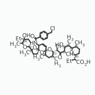 CCC(C(=O)[C@@H](C)[C@@H](O)[C@H](C)[C@@H]1O[C@@H](C(CC)C(=O)O)CC[C@@H]1C)[C@H]1O[C@]2(C=CC(NC(=O)c3ccc(CCl)cc3)[C@]3(CC[C@@](C)([C@H]4CC[C@](O)(CC)[C@H](C)O4)O3)O2)[C@H](C)C[C@@H]1C